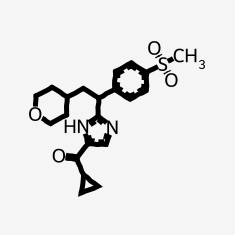 CS(=O)(=O)c1ccc(C(CC2CCOCC2)c2ncc(C(=O)C3CC3)[nH]2)cc1